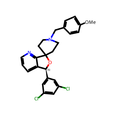 COc1ccc(CN2CCC3(CC2)O[C@@H](c2cc(Cl)cc(Cl)c2)c2cccnc23)cc1